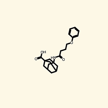 O=C(CCCOc1ccccc1)NC12CC3CC(C1)CC(C(=O)O)(C3)C2